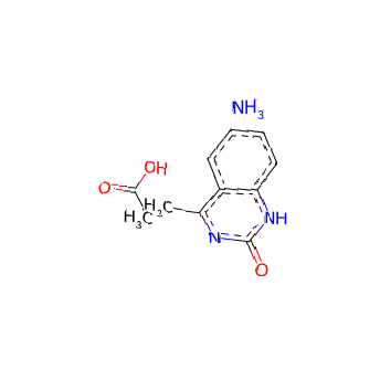 CC(=O)O.Cc1nc(=O)[nH]c2ccccc12.N